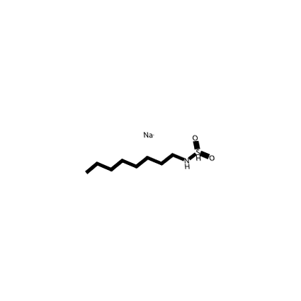 CCCCCCCCN[SH](=O)=O.[Na]